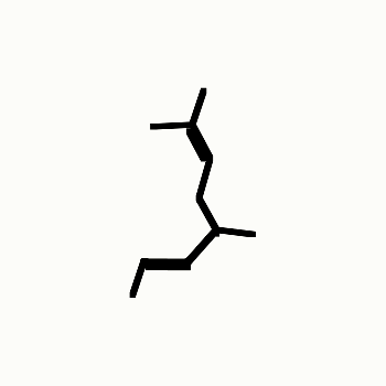 CC=C[C](C)CC=C(C)C